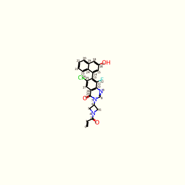 C=CC(=O)N1CC(n2cnc3c(F)c(-c4cc(O)cc5ccccc45)c(Cl)cc3c2=O)C1